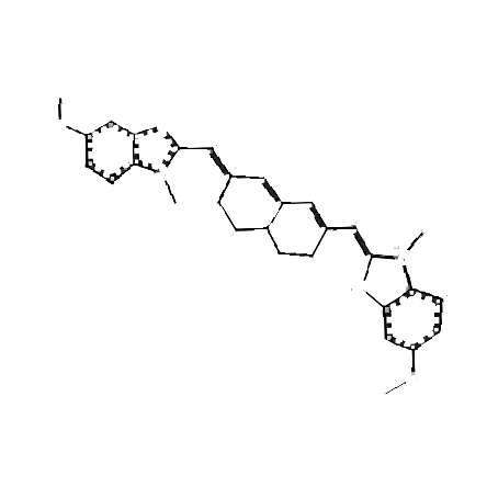 COc1ccc2c(c1)S/C(=C\C1=CC3=C/C(=C/c4sc5cc(OC)ccc5[n+]4C)CCC3CC1)N2C